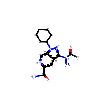 CCC(=O)N(N)c1nn(C2CCCCC2)c2cnc(C(N)=O)cc12